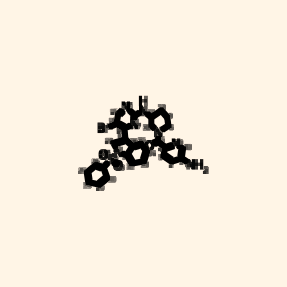 Nc1ccc(C(=O)N2CCCC(Nc3ncc(Br)c(-c4cn(S(=O)(=O)c5ccccc5)c5ccccc45)n3)C2)nc1